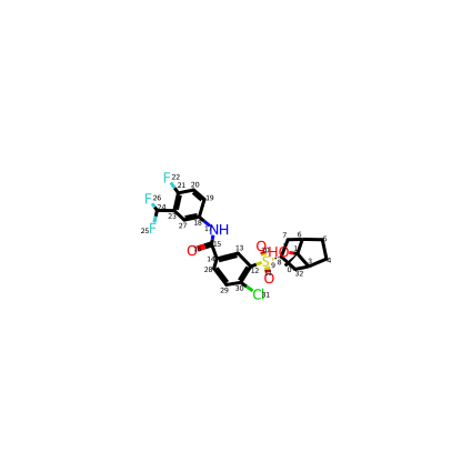 C[C@]1(O)C2CCC1C[C@@H](S(=O)(=O)c1cc(C(=O)Nc3ccc(F)c(C(F)F)c3)ccc1Cl)C2